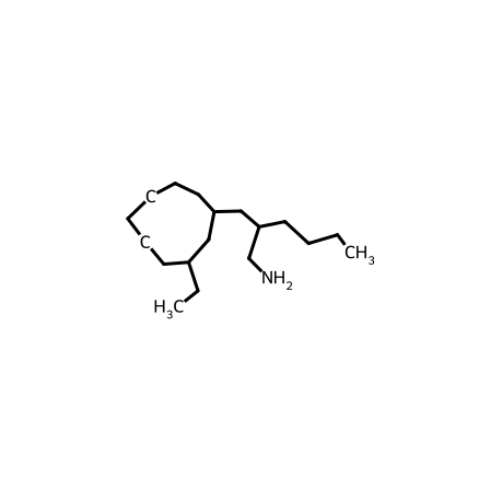 CCCCC(CN)CC1CCCCCCC(CC)C1